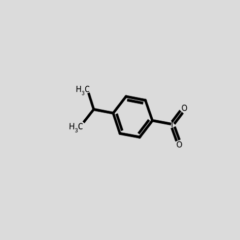 CC(C)c1ccc(I(=O)=O)cc1